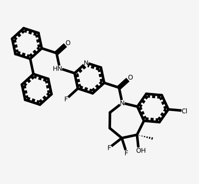 C[C@@]1(O)c2cc(Cl)ccc2N(C(=O)c2cnc(NC(=O)c3ccccc3-c3ccccc3)c(F)c2)CCC1(F)F